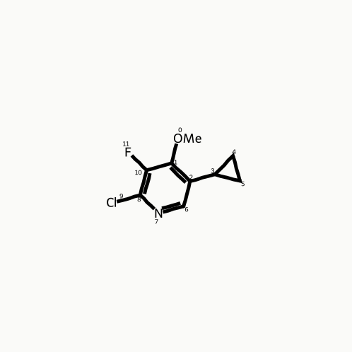 COc1c(C2CC2)cnc(Cl)c1F